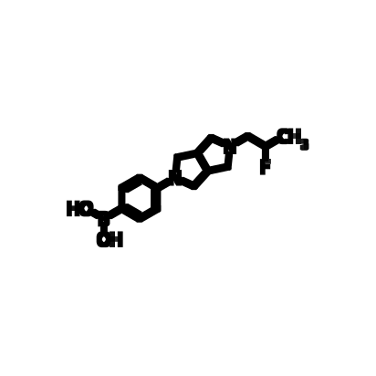 CC(F)CN1CC2CN(c3ccc(B(O)O)cc3)CC2C1